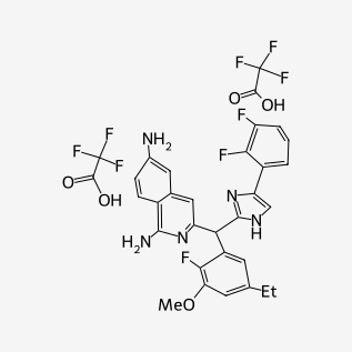 CCc1cc(OC)c(F)c(C(c2cc3cc(N)ccc3c(N)n2)c2nc(-c3cccc(F)c3F)c[nH]2)c1.O=C(O)C(F)(F)F.O=C(O)C(F)(F)F